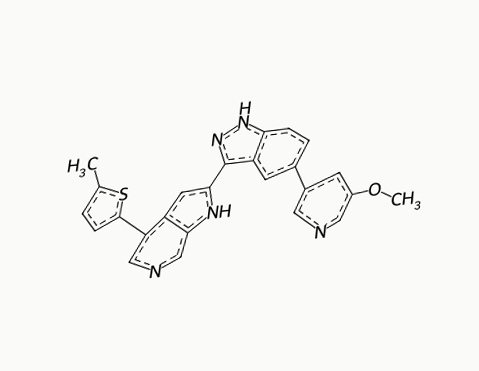 COc1cncc(-c2ccc3[nH]nc(-c4cc5c(-c6ccc(C)s6)cncc5[nH]4)c3c2)c1